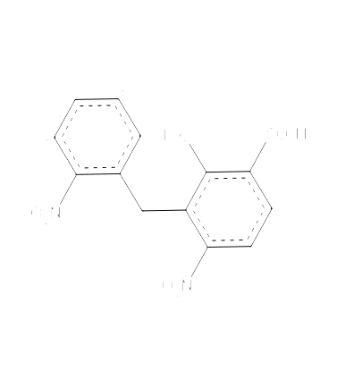 O=[N+]([O-])c1ccccc1Cc1c([N+](=O)[O-])ccc(S(=O)(=O)O)c1C(F)(F)F